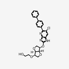 OCCO[C@@H]1CO[C@@H]2[C@@H]1OC[C@H]2Oc1nc2nc(-c3ccc(-c4ccccc4)cc3)c(Cl)cc2[nH]1